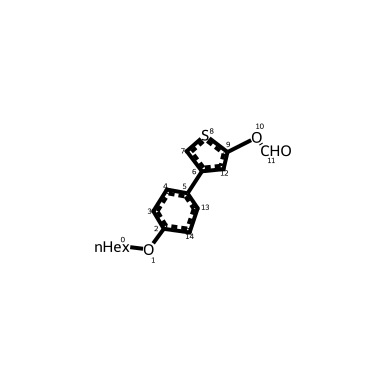 CCCCCCOc1ccc(-c2csc(OC=O)c2)cc1